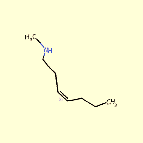 CCC/C=C\CCNC